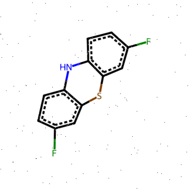 Fc1ccc2c(c1)Sc1cc(F)ccc1N2